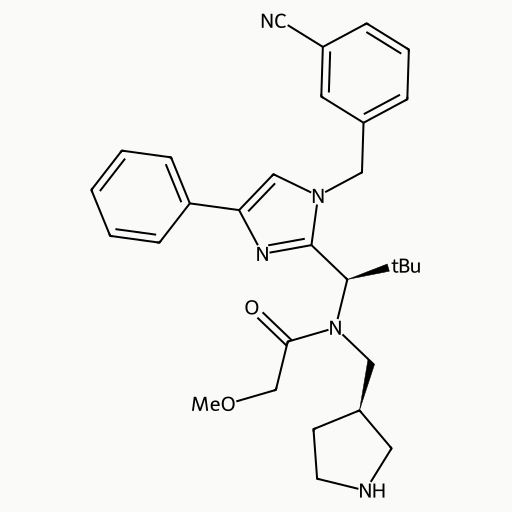 COCC(=O)N(C[C@@H]1CCNC1)[C@@H](c1nc(-c2ccccc2)cn1Cc1cccc(C#N)c1)C(C)(C)C